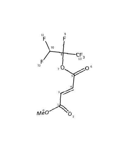 COC(=O)/C=C/C(=O)OC(F)(C(F)F)C(F)(F)F